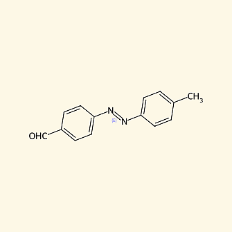 Cc1ccc(/N=N/c2ccc(C=O)cc2)cc1